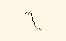 CC=COCC=CN